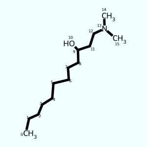 CCCCCCCCCC(O)CCN(C)C